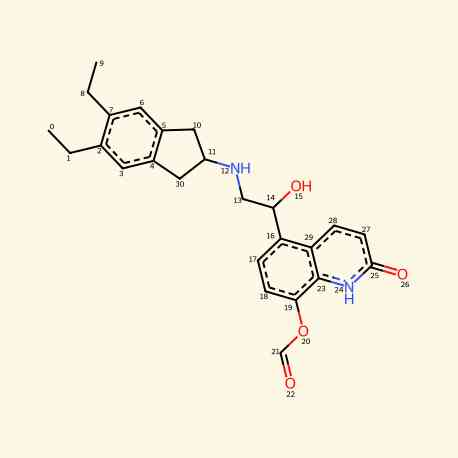 CCc1cc2c(cc1CC)CC(NCC(O)c1ccc(OC=O)c3[nH]c(=O)ccc13)C2